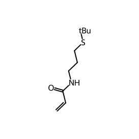 C=CC(=O)NCCCSC(C)(C)C